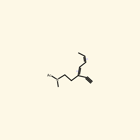 C#C/C(=C\C=C/C)CCN(C)C(C)=O